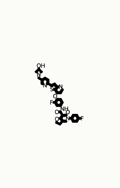 O=C(Nc1ccc(Oc2ccnc3cc(-c4ccc(CN5CC(O)C5)cn4)sc23)c(F)c1)c1c2c(cn(-c3ccc(F)cc3)c1=O)CCO2